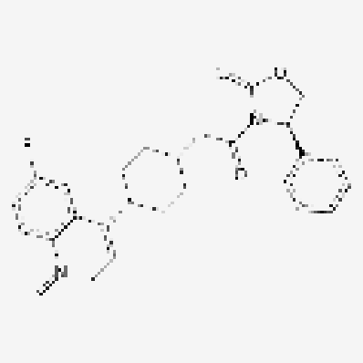 C=Nc1ccc(F)cc1/C(=C\C)[C@H]1CC[C@@H](CC(=O)N2C(=O)OC[C@H]2c2ccccc2)CC1